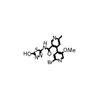 COc1cnc(Br)cc1-c1cc(C)ncc1C(=O)Nc1nnc(O)s1